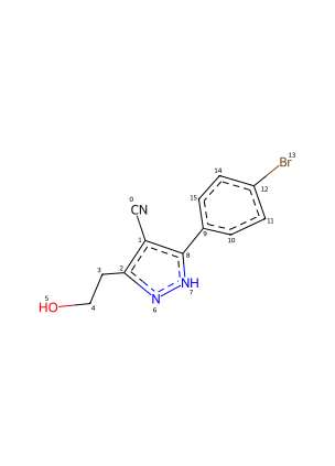 N#Cc1c(CCO)n[nH]c1-c1ccc(Br)cc1